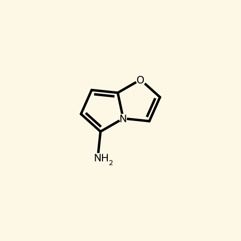 Nc1ccc2occn12